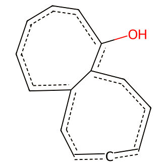 Oc1cccccc2ccccccc1-2